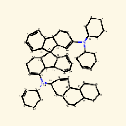 C1=CC2C3CCC(N(C4CC=CCC4)C4CCCCC4)=CC3C3(C2C=C1)C1C=CC=CC1C1C(N(C2C=CC4C(CCC5CCCCC54)C2)[C@H]2C=CCCC2)=CCCC13